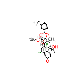 Cc1cccc(C2O[C@@H]3C[C@H]4[C@@H]5C[C@H](F)C6=CC(=O)C=C[C@]6(C)[C@@]5(F)[C@@H](O)C[C@]4(C)[C@]3(C(=O)COC(C)(C)C)O2)c1